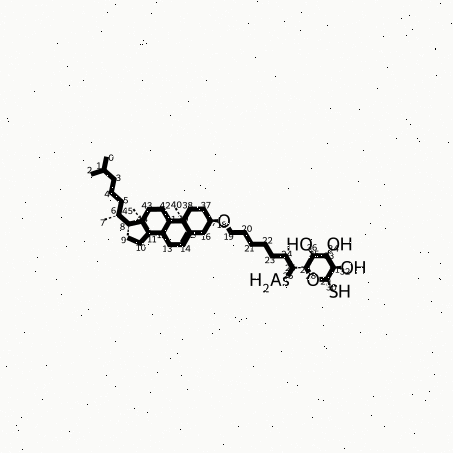 CC(C)CCC[C@@H](C)[C@H]1CCC2C3CC=C4C[C@H](OCCCCCCC([AsH2])[C@H]5O[C@@H](S)[C@H](O)[C@@H](O)[C@H]5O)CC[C@]4(C)C3CC[C@@]21C